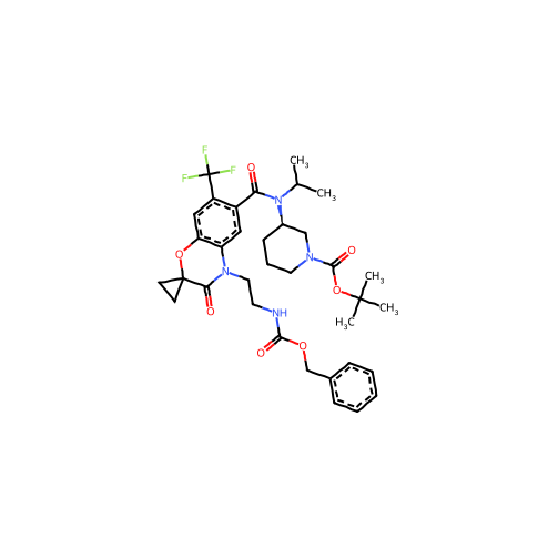 CC(C)N(C(=O)c1cc2c(cc1C(F)(F)F)OC1(CC1)C(=O)N2CCNC(=O)OCc1ccccc1)[C@@H]1CCCN(C(=O)OC(C)(C)C)C1